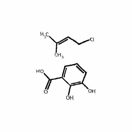 CC(C)=CCCl.O=C(O)c1cccc(O)c1O